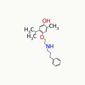 Cc1cc(OCCNCCCc2ccccc2)c(C(C)C)cc1O